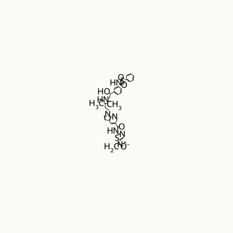 C=[N+]([O-])c1cnc(NC(=O)c2cnc3c(ccn3CCC(C)(C)NC[C@H](O)c3cccc(NS(=O)(=O)c4ccccc4)c3)c2)s1